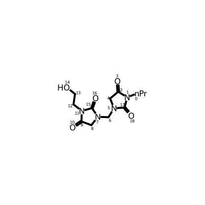 CCCN1C(=O)CN(CN2CC(=O)N(CCO)C2=O)C1=O